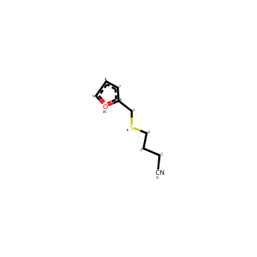 N#CCCCSCc1ccco1